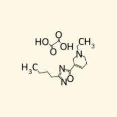 CCCCc1noc(C2=CCCN(CC)C2)n1.O=C(O)C(=O)O